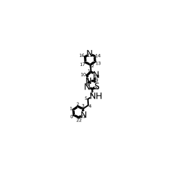 c1ccc(CCNc2nn3cc(-c4ccncc4)nc3s2)nc1